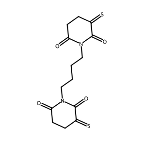 O=C1CCC(=S)C(=O)N1CCCCN1C(=O)CCC(=S)C1=O